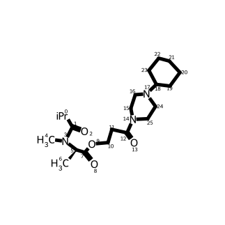 CC(C)C(=O)N(C)[C@H](C)C(=O)OCCC(=O)N1CCN(C2CCCCC2)CC1